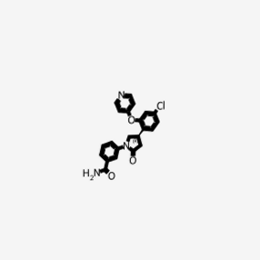 NC(=O)c1cccc(N2C[C@@H](c3ccc(Cl)cc3Oc3ccncc3)CC2=O)c1